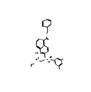 CCOP(=O)(CN(c1ccc2c(C(=O)NCc3ccccc3)cccc2c1)S(=O)(=O)c1cc(Cl)cc(Cl)c1)OCC